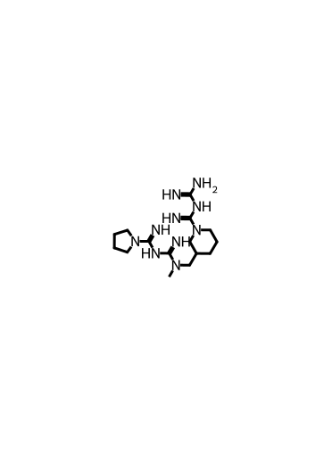 CN(CC1CCCN(C(=N)NC(=N)N)C1)C(=N)NC(=N)N1CCCC1